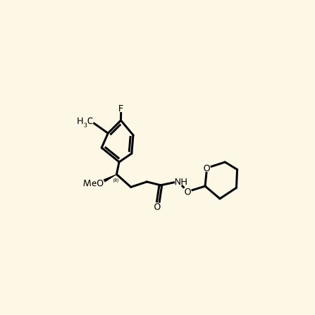 CO[C@H](CCC(=O)NOC1CCCCO1)c1ccc(F)c(C)c1